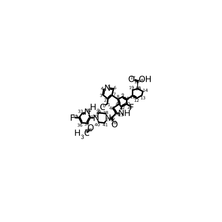 CCc1ccncc1-c1cc(C2=CCC[C@H](C(=O)O)C2)c(F)c2[nH]c(C(=O)N3CCN(c4ncc(F)cc4OC)CC3)cc12